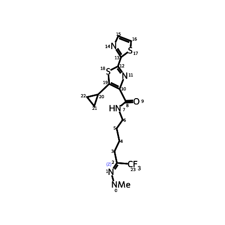 CN/N=C(/CCCCNC(=O)c1nc(-c2nccs2)sc1C1CC1)C(F)(F)F